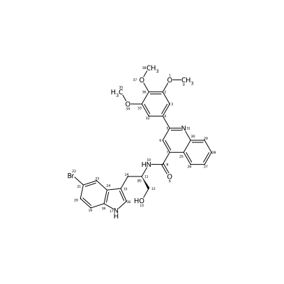 COc1cc(-c2cc(C(=O)N[C@@H](CO)Cc3c[nH]c4ccc(Br)cc34)c3ccccc3n2)cc(OC)c1OC